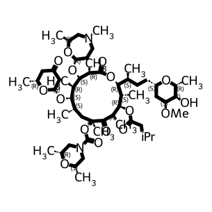 CO[C@H]1C[C@H](CC[C@H](C)[C@H]2OC(=O)[C@H](C)[C@@H](O[C@H]3CCN(C)C[C@H](C)O3)[C@H](C)[C@@H](O[C@H]3CC(=O)C[C@@H](C)O3)[C@@H](C)C[C@](C)(OC(=O)N3C[C@@H](C)O[C@@H](C)C3)C(=O)[C@H](C)[C@H](OC(=O)CC(C)C)[C@H]2C)O[C@H](C)[C@H]1O